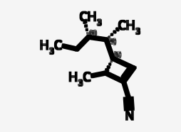 CC[C@H](C)[C@H](C)[C@@H]1C=C(C#N)C1C